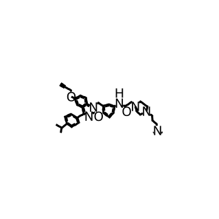 C#CCOc1ccc2c(c1)c(-c1ccc(C(C)C)cc1)nc(=O)n2Cc1cccc(NC(=O)CN2CCN(CCCN(C)C)CC2)c1